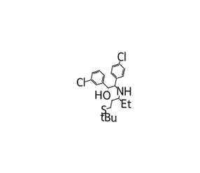 CC[C@@H](CCSC(C)(C)C)N[C@H](c1ccc(Cl)cc1)[C@H](O)c1cccc(Cl)c1